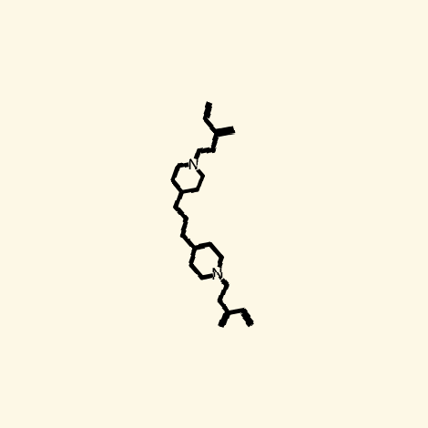 C=CC(=C)CCN1CCC(CCCC2CCN(CCC(=C)C=C)CC2)CC1